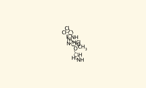 COc1cc2c(Nc3ccc(Cl)c(Cl)c3F)ncnc2cc1OCC1C[C@H]2CNC[C@H]2C1.Cl